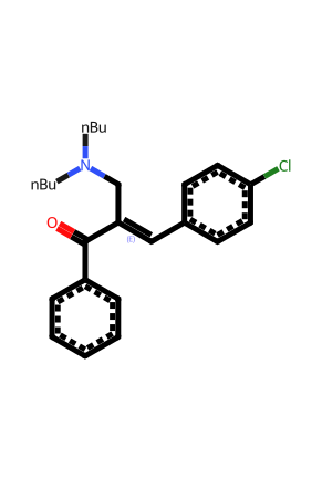 CCCCN(CCCC)C/C(=C\c1ccc(Cl)cc1)C(=O)c1ccccc1